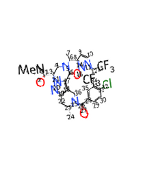 CNC(=O)[C@@H]1CN(C(C)c2ccn(CC(F)(F)F)n2)C(=O)c2c3c(nn21)C[C@@H](C)N(C(=O)c1ccc(Cl)c(C(F)(F)F)c1)C3